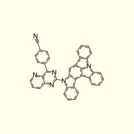 N#Cc1ccc(-c2nc(-n3c4ccccc4c4c5c6ccccc6n6c7ccccc7c(cc43)c56)nc3cccnc23)cc1